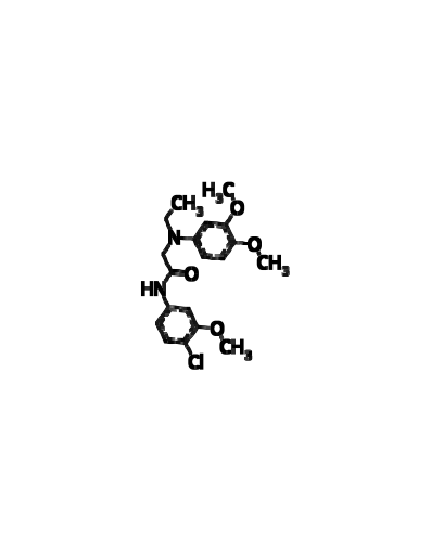 CCN(CC(=O)Nc1ccc(Cl)c(OC)c1)c1ccc(OC)c(OC)c1